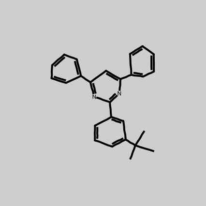 CC(C)(C)c1cccc(-c2nc(-c3ccccc3)cc(-c3ccccc3)n2)c1